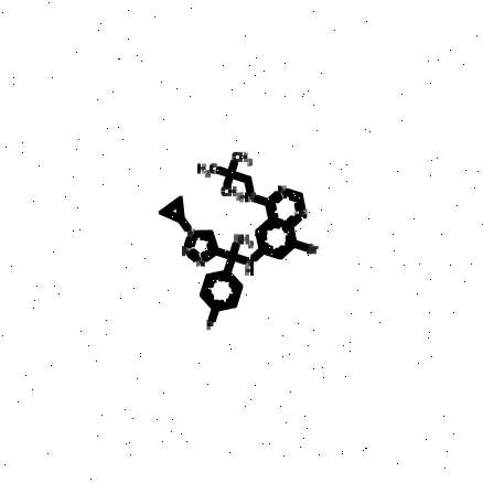 BC(Nc1cc(Br)c2ncnc(NCC(C)(C)C)c2c1)(c1ccc(F)cc1)c1cn(C2CC2)nn1